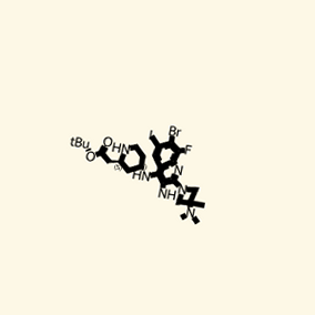 CN(C)C1(C)CN(c2nc3c(F)c(Br)c(I)cc3c(N[C@H]3CCN[C@H](CC(=O)OC(C)(C)C)C3)c2N)C1